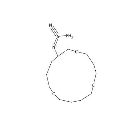 N#S(P)=NC1CCCCCCCCCCCCCC1